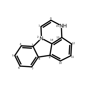 C1=Cn2c3ccccc3c3cccc(c32)N1